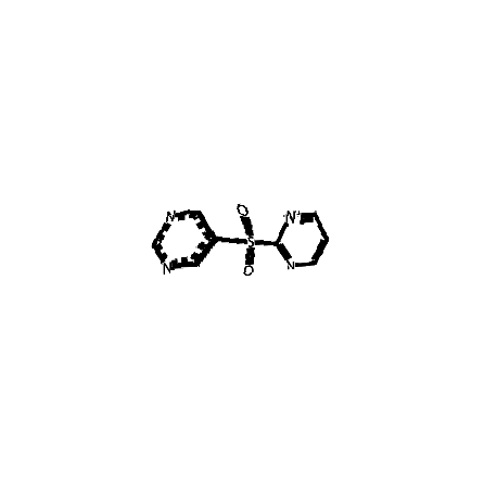 O=S(=O)(C1=NC=CC=[N+]1)c1cncnc1